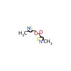 Cc1cc(COC(=O)c2cc(C)ns2)sn1